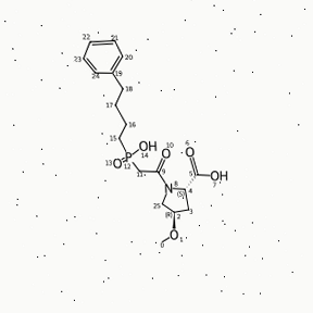 CO[C@@H]1C[C@@H](C(=O)O)N(C(=O)CP(=O)(O)CCCCc2ccccc2)C1